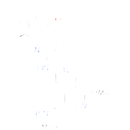 COCC(C)(N)c1cnc(OC)c2cnc(Nc3ccc4c(n3)[C@@H](C)C(C)(C)OC4=O)cc12